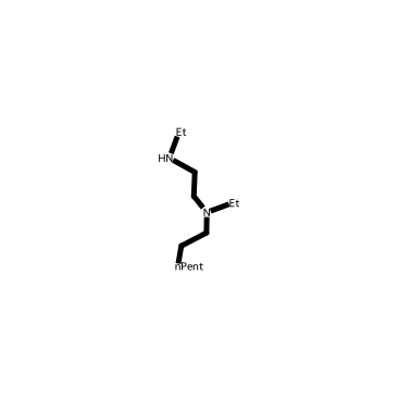 CCCCCCCN(CC)CCNCC